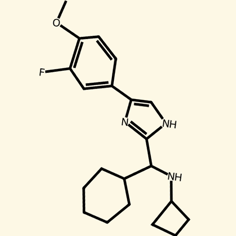 COc1ccc(-c2c[nH]c(C(NC3CCC3)C3CCCCC3)n2)cc1F